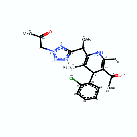 CCOC(=O)C1=C(C(OC)c2nnn(CC(=O)OC)n2)NC(C)=C(C(=O)OC)C1c1ccccc1Cl